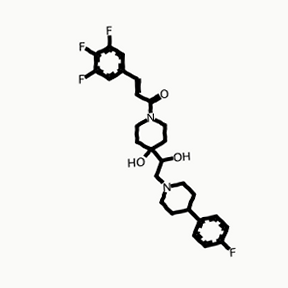 O=C(C=Cc1cc(F)c(F)c(F)c1)N1CCC(O)(C(O)CN2CCC(c3ccc(F)cc3)CC2)CC1